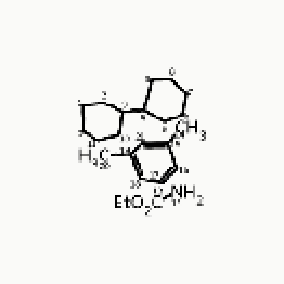 C1CCC(C2CCCCC2)CC1.CCOC(N)=O.Cc1cccc(C)c1